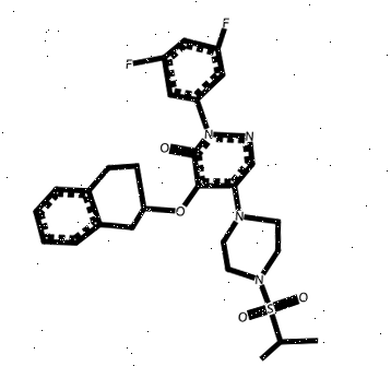 CC(C)S(=O)(=O)N1CCN(c2cnn(-c3cc(F)cc(F)c3)c(=O)c2OC2CCc3ccccc3C2)CC1